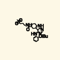 CC(C)COc1ccccc1Nc1ncnc2[nH]c3c(c12)CC(C(=O)NCCCS(C)(=O)=O)CC3